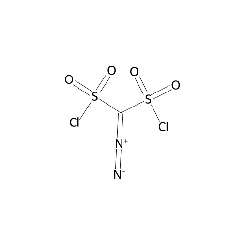 [N-]=[N+]=C(S(=O)(=O)Cl)S(=O)(=O)Cl